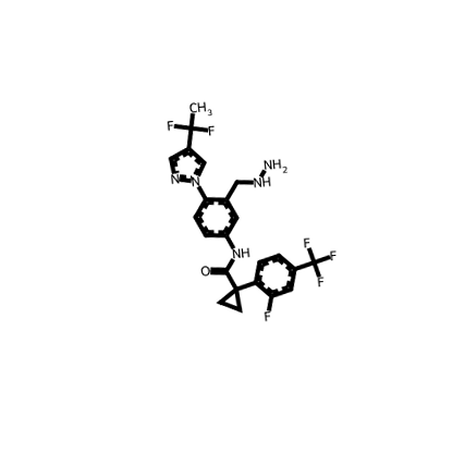 CC(F)(F)c1cnn(-c2ccc(NC(=O)C3(c4ccc(C(F)(F)F)cc4F)CC3)cc2CNN)c1